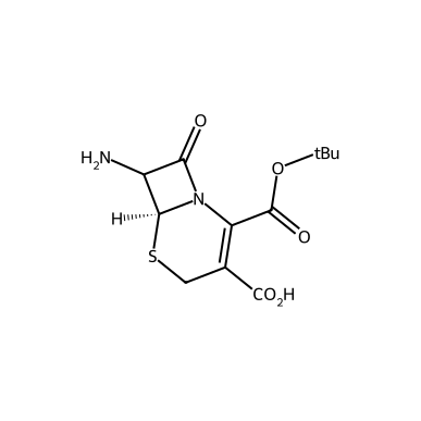 CC(C)(C)OC(=O)C1=C(C(=O)O)CS[C@H]2C(N)C(=O)N12